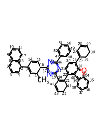 CC1C=C(c2cccc3ccccc23)C=CC1c1nc(C2=C(c3ccc(C4=CC=CCC4)c4oc5ccccc5c34)CCC=C2)nc(-c2ccccc2)n1